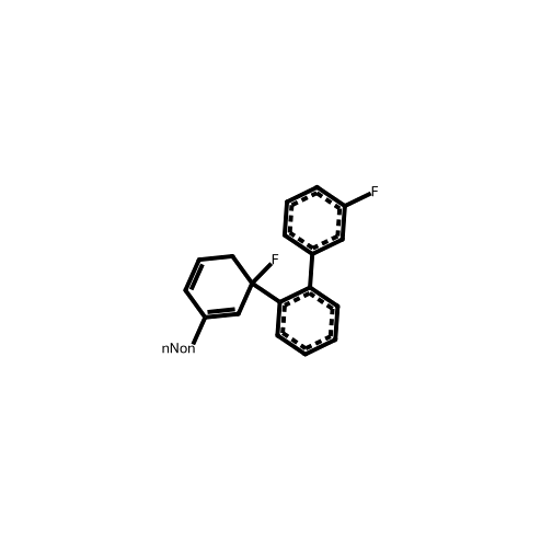 CCCCCCCCCC1=CC(F)(c2ccccc2-c2cccc(F)c2)CC=C1